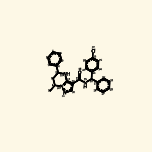 CC1CC(c2ccccc2)Nc2c(C(=O)NC(c3ccccc3)c3ccc(Cl)cc3)cnn21